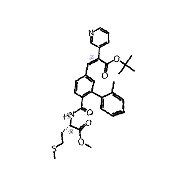 COC(=O)[C@H](CCSC)NC(=O)c1ccc(/C=C(\C(=O)OC(C)(C)C)c2cccnc2)cc1-c1ccccc1C